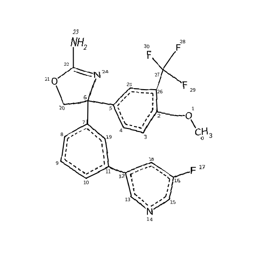 COc1ccc(C2(c3cccc(-c4cncc(F)c4)c3)COC(N)=N2)cc1C(F)(F)F